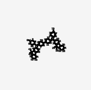 Cc1ccc(N(c2ccc(-c3ccc(N(c4ccc(C)cc4)c4ccc5c(c4)C(C)(C)c4ccccc4-5)cc3)cc2)c2ccc3c(c2)C(C)(C)c2ccccc2-3)cc1